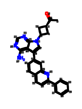 CC(=O)[C@H]1C[C@@H](n2cc(-c3ccc4ccc(-c5ccccc5)nc4c3)c3c(N)ncnc32)C1